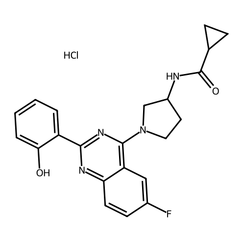 Cl.O=C(NC1CCN(c2nc(-c3ccccc3O)nc3ccc(F)cc23)C1)C1CC1